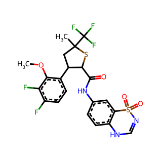 COc1c(C2CC(C)(C(F)(F)F)SC2C(=O)Nc2ccc3c(c2)S(=O)(=O)N=CN3)ccc(F)c1F